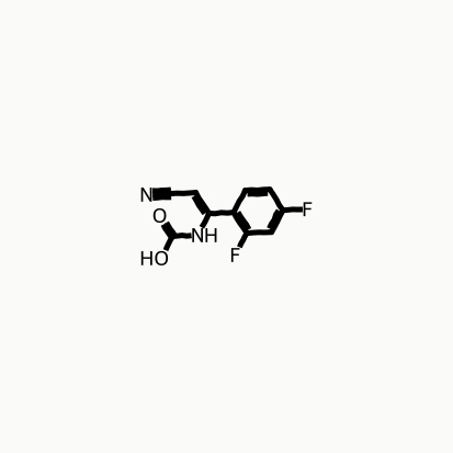 N#CC=C(NC(=O)O)c1ccc(F)cc1F